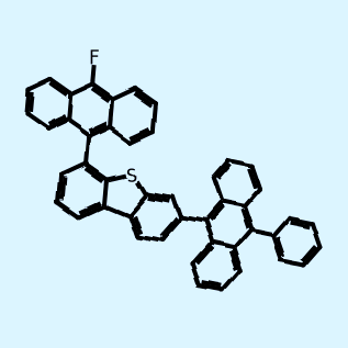 Fc1c2ccccc2c(-c2cccc3c2sc2cc(-c4c5ccccc5c(-c5ccccc5)c5ccccc45)ccc23)c2ccccc12